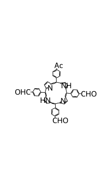 CC(=O)c1ccc(-c2c3nc(c(-c4ccc(C=O)cc4)c4ccc([nH]4)c(-c4ccc(C=O)cc4)c4nc(c(-c5ccc(C=O)cc5)c5ccc2[nH]5)C=C4)C=C3)cc1